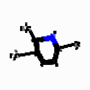 CCc1ccc(C(F)(F)F)c(C)n1